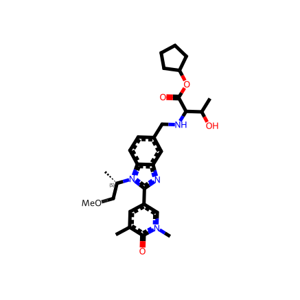 COC[C@H](C)n1c(-c2cc(C)c(=O)n(C)c2)nc2cc(CNC(C(=O)OC3CCCC3)C(C)O)ccc21